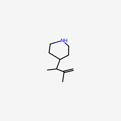 C=C(C)C(C)C1CCNCC1